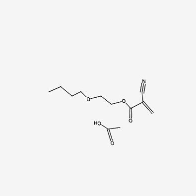 C=C(C#N)C(=O)OCCOCCCC.CC(=O)O